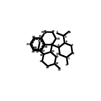 CC1CCC(C(C)C)C(C2(C3CC(C)CCC3C(C)C)CCSc3ccccc32)C1